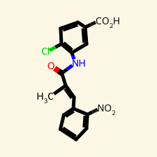 C/C(=C\c1ccccc1[N+](=O)[O-])C(=O)Nc1cc(C(=O)O)ccc1Cl